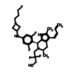 C=C/C=C\c1c(C)[nH]c2c1C[C@@H](C)N(CC(F)(F)CO)[C@@H]2c1c(F)cc(NC2CN(CCCF)C2)cc1F